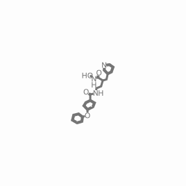 O=C(NCCC(Cc1cccnc1)C(=O)NO)c1ccc(Oc2ccccc2)cc1